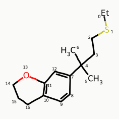 CCSCCC(C)(C)c1ccc2c(c1)OCCC2